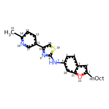 CCCCCCCCc1cc2ccc(Nc3nc(-c4ccc(C)nc4)cs3)cc2o1